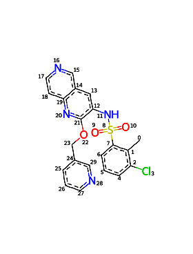 Cc1c(Cl)cccc1S(=O)(=O)Nc1cc2cnccc2nc1OCc1cccnc1